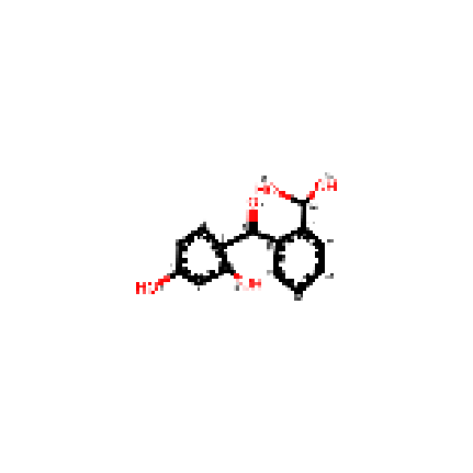 O=C(c1ccc(O)cc1O)c1ccccc1C(O)O